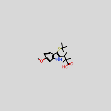 COc1ccc2c(SC(C)(C)C)c(C(C)C(C)(C)C(=O)O)[nH]c2c1